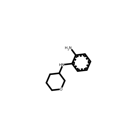 Nc1ccccc1NC1CCCOC1